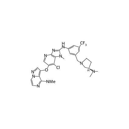 CNc1nccn2ncc(Oc3cnc4nc(Nc5cc(CN6CC[C@@H](N(C)C)C6)cc(C(F)(F)F)c5)n(C)c4c3Cl)c12